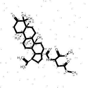 C=C(C)[C@@H]1CC[C@]2(C(=O)NC(CC(=O)OC)C(=O)OC)CC[C@]3(C)C(CCC4[C@@]5(C)CCC(=O)C(C)(C)[C@@H]5CC[C@]43C)C12